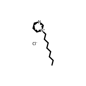 CCCCCCCC[n+]1cccnc1.[Cl-]